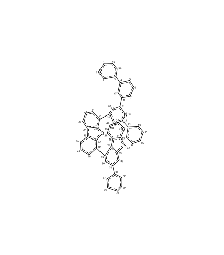 c1ccc(-c2cccc(-c3nc(-c4ccccc4)nc(-c4cccc5c4oc4c(-c6cc(-c7ccccc7)cc7sc8ccccc8c67)cccc45)n3)c2)cc1